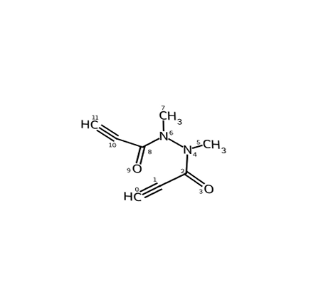 C#CC(=O)N(C)N(C)C(=O)C#C